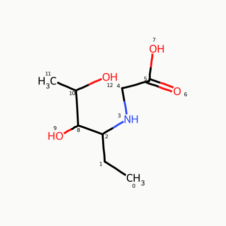 CCC(NCC(=O)O)C(O)C(C)O